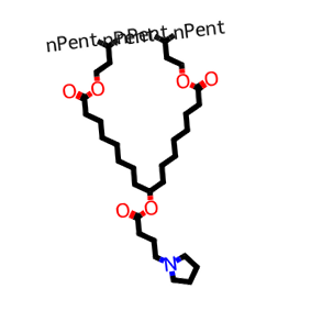 CCCCCC(CCCCC)CCOC(=O)CCCCCCCC(CCCCCCCC(=O)OCCC(CCCCC)CCCCC)OC(=O)CCCN1CCCC1